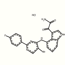 CC(C)c1cnc(-c2ccc(F)cc2)nc1Nc1cccc2[nH]cc(C(=O)C(N)=O)c12.Cl